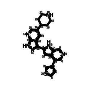 c1cc(-c2cncc3[nH]c(-c4n[nH]c5ncc(C6CCNCC6)cc45)cc23)cs1